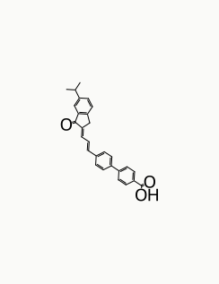 CC(C)c1ccc2c(c1)C(=O)/C(=C/C=C/c1ccc(-c3ccc(C(=O)O)cc3)cc1)C2